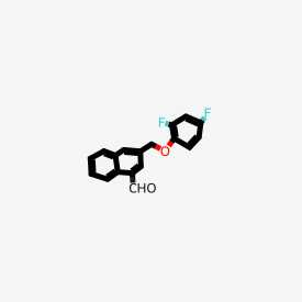 O=Cc1cc(COc2ccc(F)cc2F)cc2ccccc12